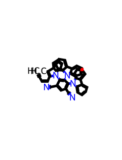 C#C/C=C\c1c(C)c2ccccc2n1-c1c(C#N)cc(C#N)c(-n2c3ccccc3c3ccccc32)c1-n1c2ccccc2c2ccccc21